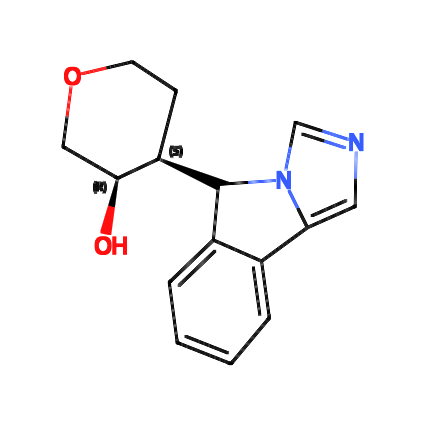 O[C@H]1COCC[C@H]1C1c2ccccc2-c2cncn21